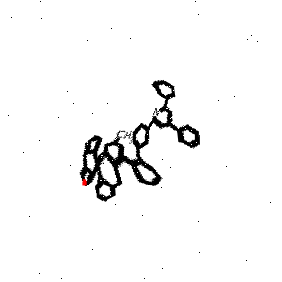 CC1C=C(c2ccccc2-c2cccc(-c3cc(-c4ccccc4)cc(-c4ccccc4)n3)c2)C2=C(C1)C1(c3ccccc3C2)c2ccccc2-c2ccccc21